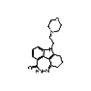 O=C1NN=C2CCCc3c2c2c1cccc2n3CCN1CCOCC1